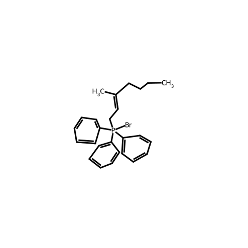 CCCC/C(C)=C/CP(Br)(c1ccccc1)(c1ccccc1)c1ccccc1